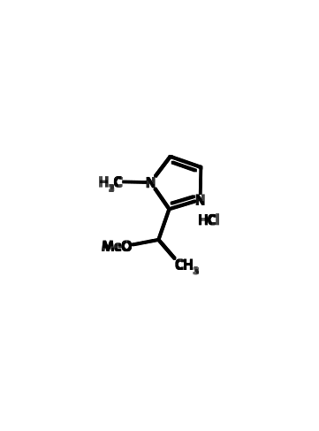 COC(C)c1nccn1C.Cl